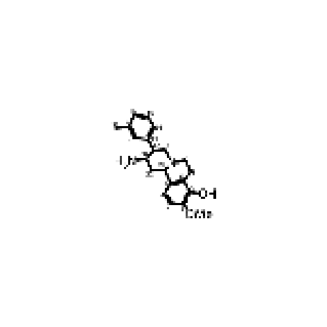 COc1ccc2c(c1O)CCN1CC(c3cccc(C)c3)C(N)CC21